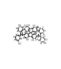 Cc1cccc(N(c2ccccc2)c2ccc3c(c2)C2(C4=C(C=CCC4)c4ccccc42)c2cc(N(C4=CCCC=C4)C4=CC=CC(C)C4)ccc2-3)c1